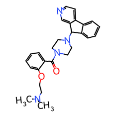 CN(C)CCOc1ccccc1C(=O)N1CCN(C2c3ccccc3-c3ccncc32)CC1